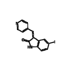 O=C1Nc2ccc(I)cc2C1=Cc1ccncc1